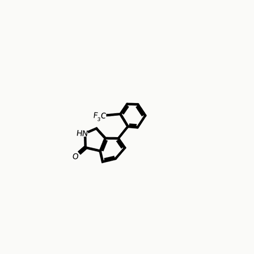 O=C1NCc2c1cccc2-c1ccccc1C(F)(F)F